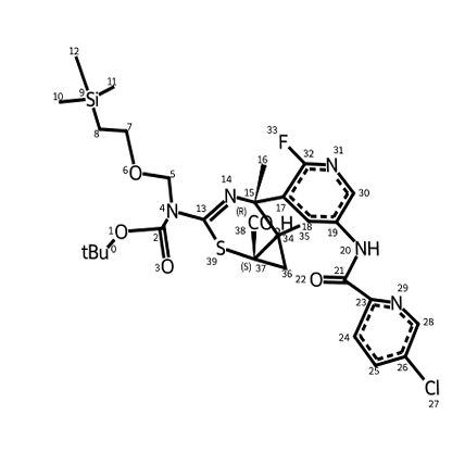 CC(C)(C)OC(=O)N(COCC[Si](C)(C)C)C1=N[C@](C)(c2cc(NC(=O)c3ccc(Cl)cn3)cnc2F)C2(C)C[C@]2(C(=O)O)S1